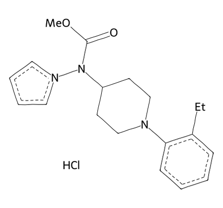 CCc1ccccc1N1CCC(N(C(=O)OC)n2cccc2)CC1.Cl